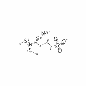 CSN(SC)C(=S)CCCS(=O)(=O)[O-].[Na+]